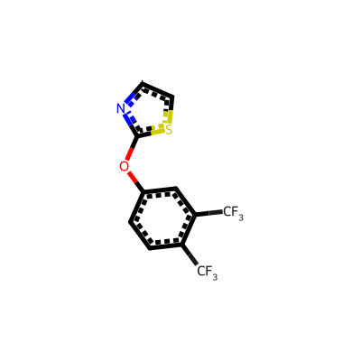 FC(F)(F)c1ccc(Oc2n[c]cs2)cc1C(F)(F)F